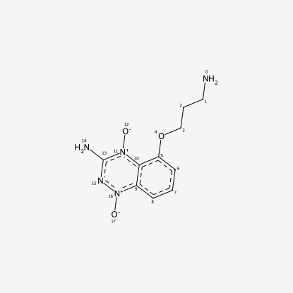 NCCCOc1cccc2c1[n+]([O-])c(N)n[n+]2[O-]